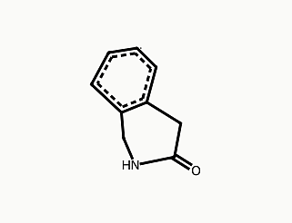 O=C1Cc2c[c]ccc2CN1